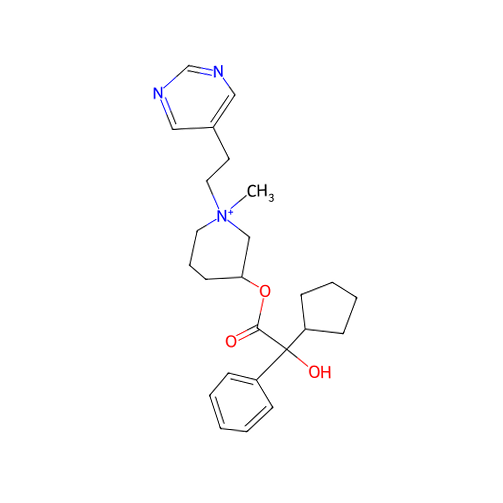 C[N+]1(CCc2cncnc2)CCCC(OC(=O)C(O)(c2ccccc2)C2CCCC2)C1